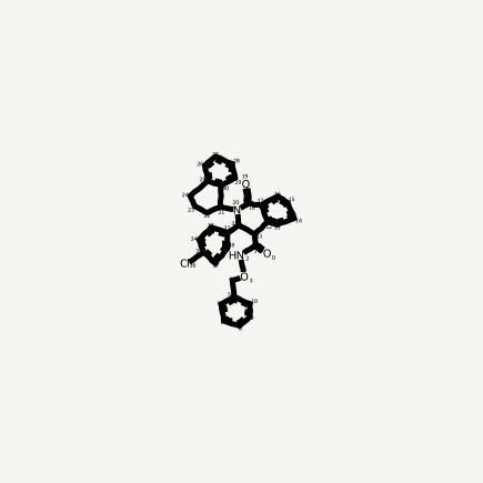 O=C(NOCc1ccccc1)C1c2ccccc2C(=O)N(C2CCCc3ccccc32)C1c1ccc(Cl)cc1